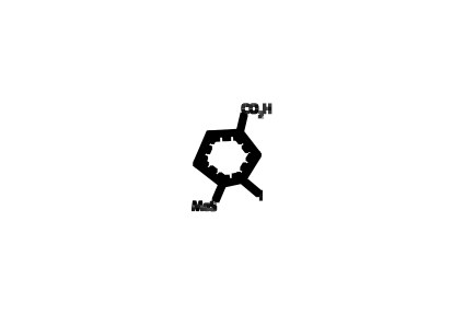 CSc1ccc(C(=O)O)cc1I